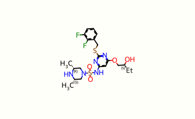 CC[C@H](O)COc1cc(NS(=O)(=O)N2C[C@@H](C)N[C@@H](C)C2)nc(SCc2cccc(F)c2F)n1